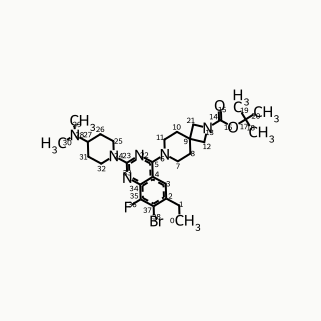 CCc1cc2c(N3CCC4(CC3)CN(C(=O)OC(C)(C)C)C4)nc(N3CCC(N(C)C)CC3)nc2c(F)c1Br